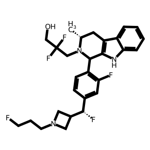 C[C@@H]1Cc2c([nH]c3ccccc23)C(c2ccc([C@H](F)C3CN(CCCF)C3)cc2F)N1CC(F)(F)CO